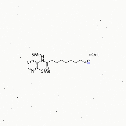 CCCCCCCC/C=C\CCCCCCCC(=O)Nc1c(SC)ncnc1SC